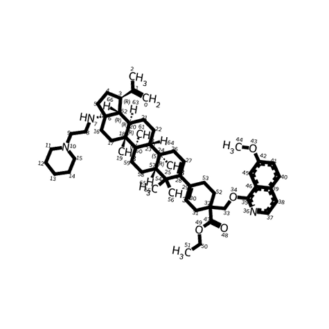 C=C(C)[C@@H]1CC[C@]2(NCCN3CCCCC3)CC[C@]3(C)[C@H](CC[C@@H]4[C@@]5(C)CC=C(C6=CCC(COc7nccc8ccc(OC)cc78)(C(=O)OCC)CC6)C(C)(C)[C@@H]5CC[C@]43C)[C@@H]12